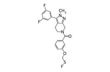 Cn1nc2c(c1-c1cc(F)cc(F)c1)CCN(C(=O)c1cccc(OCSF)c1)C2